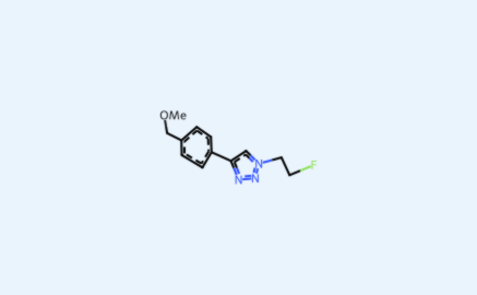 COCc1ccc(-c2cn(CCF)nn2)cc1